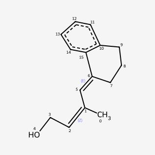 CC(=C/CO)/C=C1\CCCc2ccccc21